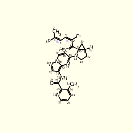 C=C(/C(F)=C\C=C(/C)F)[C@@]12C[C@@H]1CCN2c1ccn2ncc(NC(=O)c3ncccc3C)c2n1